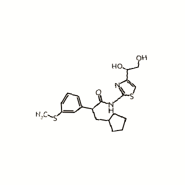 CSc1cccc(C(CC2CCCC2)C(=O)Nc2nc(C(O)CO)cs2)c1